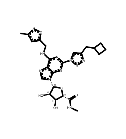 CNC(=O)[C@H]1O[C@@H](n2cnc3c(NCc4cc(C)no4)nc(-n4cc(CC5CCC5)nn4)nc32)[C@H](O)[C@@H]1O